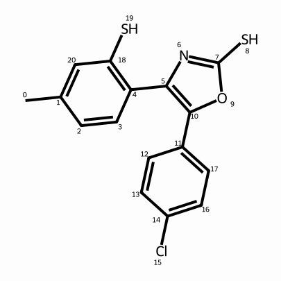 Cc1ccc(-c2nc(S)oc2-c2ccc(Cl)cc2)c(S)c1